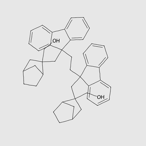 OCC1(CC2(CCC3(CC4(CO)CC5CCC4C5)c4ccccc4-c4ccccc43)c3ccccc3-c3ccccc32)CC2CCC1C2